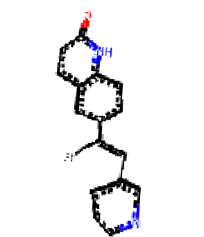 CCC(=Cc1cccnc1)c1ccc2[nH]c(=O)ccc2c1